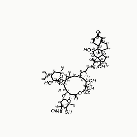 CC[C@H]1OC(=O)[C@H](C)[C@@H](O[C@@H]2C[C@](C)(OC)[C@H](O)[C@H](C)O2)[C@H](C)[C@@H](O[C@@H]2O[C@H](C)C[C@@H](N(C)C)[C@H]2O)[C@]2(O)C[C@@]2(C)CN(CCCNC(=O)[C@@]2(O)[C@H](C)CC3C4CCC5=CC(=O)C=C[C@]5(C)[C@@]4(F)[C@@H](O)C[C@@]32C)[C@H](C)[C@@H](O)[C@]1(C)O